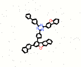 c1ccc(-c2ccc(-c3nc(-c4ccc(-c5cc(-c6ccc7ccccc7c6)cc6oc7cc8ccccc8cc7c56)cc4)nc(-c4ccc5c(c4)oc4ccccc45)n3)cc2)cc1